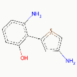 Nc1csc(-c2c(N)cccc2O)c1